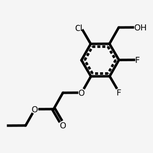 CCOC(=O)COc1cc(Cl)c(CO)c(F)c1F